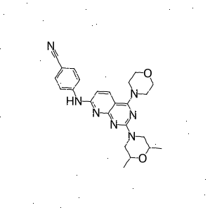 CC1CN(c2nc(N3CCOCC3)c3ccc(Nc4ccc(C#N)cc4)nc3n2)CC(C)O1